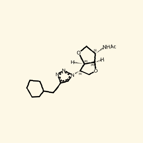 CC(=O)N[C@H]1CO[C@H]2[C@@H]1OC[C@@H]2n1cc(CC2CCCCC2)nn1